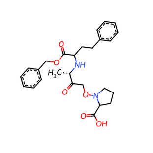 C[C@H](NC(CCc1ccccc1)C(=O)OCc1ccccc1)C(=O)CON1CCCC1C(=O)O